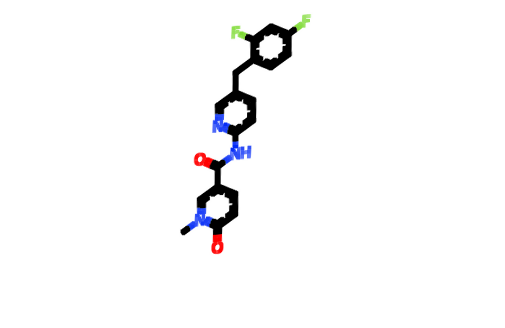 Cn1cc(C(=O)Nc2ccc(Cc3ccc(F)cc3F)cn2)ccc1=O